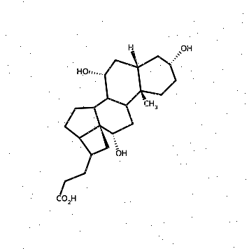 C[C@]12CC[C@@H](O)C[C@H]1C[C@@H](O)C1C3CCC4C(CCC(=O)O)C[C@@]43[C@@H](O)CC12